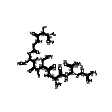 CCCCCCCCCC[C@@H](OC(=O)CNC(=O)[C@@H](C)[C@H](C)O)[C@@H](C)C(=O)N(C)[C@@H](CC(C)C)C(=O)N[C@@H](CCC)C(=O)N[C@@H](CNC(=N)N)C(N)=O